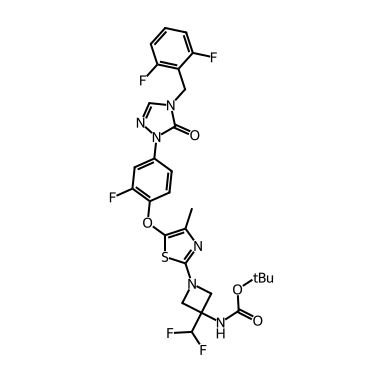 Cc1nc(N2CC(NC(=O)OC(C)(C)C)(C(F)F)C2)sc1Oc1ccc(-n2ncn(Cc3c(F)cccc3F)c2=O)cc1F